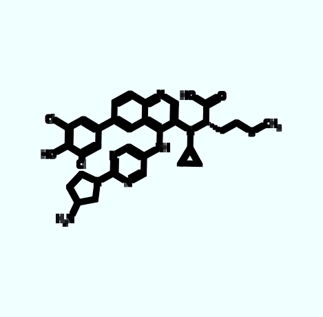 CSCC[C@@H](C(=O)O)N(c1cnc2ccc(-c3cc(Cl)c(O)c(Cl)c3)cc2c1Nc1cnc(N2CCC(N)C2)nc1)C1CC1